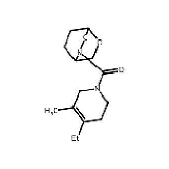 CCC1=C(C)CN(C(=O)N2CC3CCC2CO3)CC1